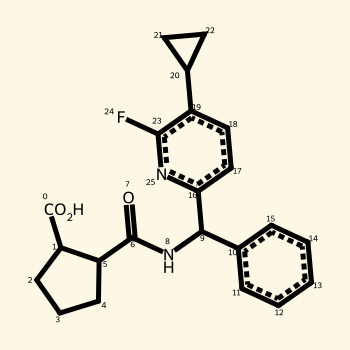 O=C(O)C1CCCC1C(=O)NC(c1ccccc1)c1ccc(C2CC2)c(F)n1